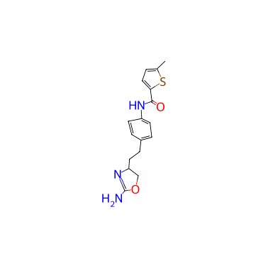 Cc1ccc(C(=O)Nc2ccc(CCC3COC(N)=N3)cc2)s1